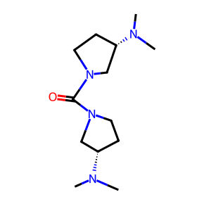 CN(C)[C@H]1CCN(C(=O)N2CC[C@H](N(C)C)C2)C1